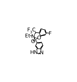 CCN(C(c1ccc(F)cc1)C(F)(F)F)S(=O)(=O)c1ccc2nc[nH]c2c1